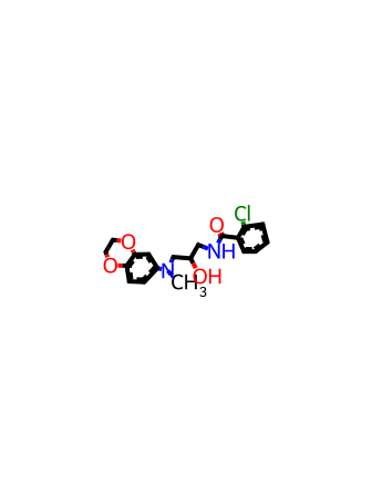 CN(CC(O)CNC(=O)c1ccccc1Cl)c1ccc2c(c1)OCCO2